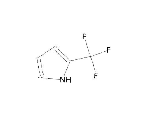 FC(F)(F)c1cc[c][nH]1